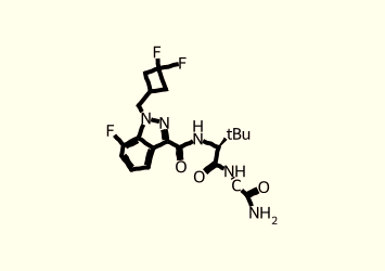 CC(C)(C)[C@H](NC(=O)c1nn(CC2CC(F)(F)C2)c2c(F)cccc12)C(=O)NCC(N)=O